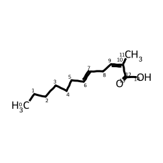 CCCCCCC=CCC=C(C)C(=O)O